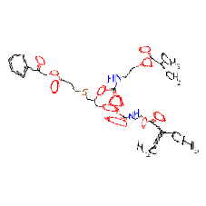 C=C(C)C(=O)OCCNC(=O)OCC(CSCCC(=O)OCC(=O)c1ccccc1)OC(=O)NCCOC(=O)C(=C)C